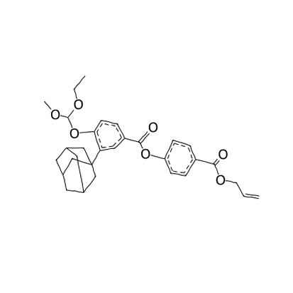 C=CCOC(=O)c1ccc(OC(=O)c2ccc(OC(OC)OCC)c(C34CC5CC(CC(C5)C3)C4)c2)cc1